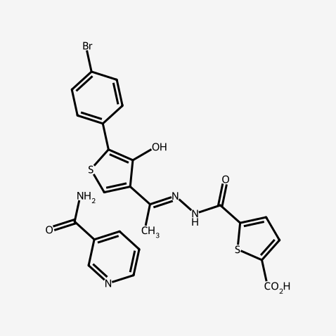 CC(=NNC(=O)c1ccc(C(=O)O)s1)c1csc(-c2ccc(Br)cc2)c1O.NC(=O)c1cccnc1